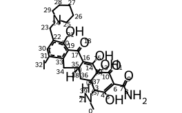 CN(C)[C@@H]1C(O)=C(C(N)=O)C(=O)[C@@]2(O)C(O)=C3C(=O)c4c(O)c(CN5CCCCC5)cc(I)c4C[C@H]3C[C@@H]12